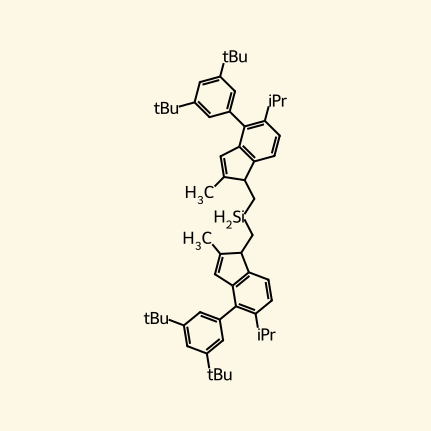 CC1=Cc2c(ccc(C(C)C)c2-c2cc(C(C)(C)C)cc(C(C)(C)C)c2)C1C[SiH2]CC1C(C)=Cc2c1ccc(C(C)C)c2-c1cc(C(C)(C)C)cc(C(C)(C)C)c1